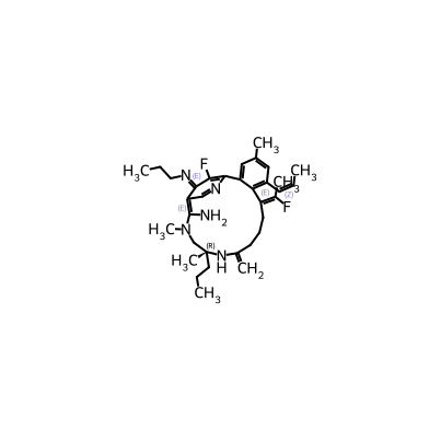 C=C1CCC/C(=C(/C)F)c2c(/C=C\C)cc(C)cc2C2=C(F)C(=N/CCC)/C(=C(\N)N(C)C[C@@](C)(CCC)N1)C=N2